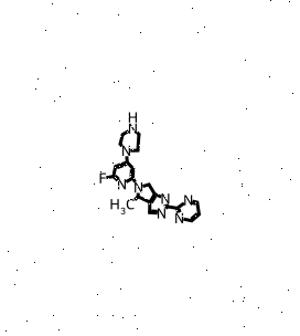 CC1c2cnc(-c3ncccn3)nc2CN1c1cc(N2CCNCC2)cc(F)n1